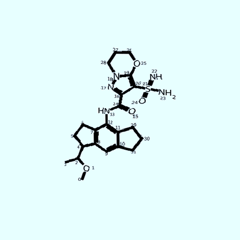 COC(C)C1CCc2c1cc1c(c2NC(=O)c2nn3c(c2S(=N)(N)=O)OCCC3)CCC1